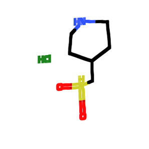 Cl.O=[SH](=O)CC1CCNCC1